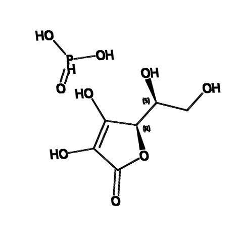 O=C1O[C@H]([C@@H](O)CO)C(O)=C1O.O=[PH](O)O